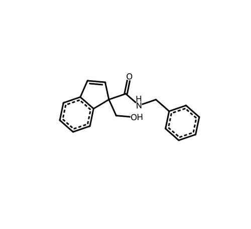 O=C(NCc1ccccc1)C1(CO)C=Cc2ccccc21